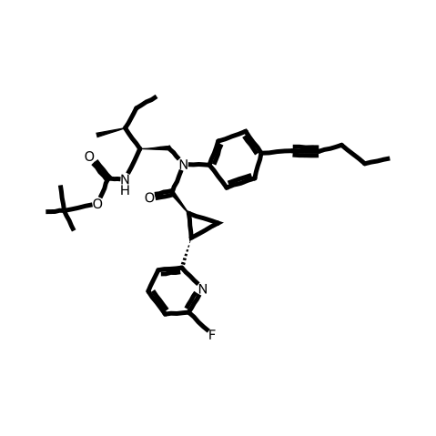 CCCC#Cc1ccc(N(C[C@@H](NC(=O)OC(C)(C)C)[C@@H](C)CC)C(=O)[C@H]2C[C@@H]2c2cccc(F)n2)cc1